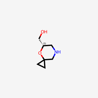 OC[C@@H]1CNCC2(CC2)O1